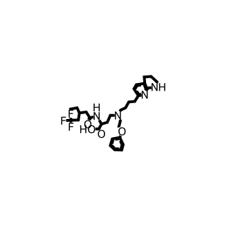 CCC(CC(=O)NC(CCN(CCCCc1ccc2c(n1)NCCC2)CCOc1ccccc1)C(=O)O)CC(F)(F)F